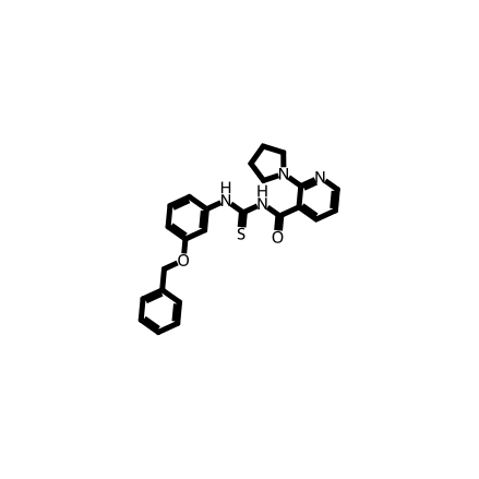 O=C(NC(=S)Nc1cccc(OCc2ccccc2)c1)c1cccnc1N1CCCC1